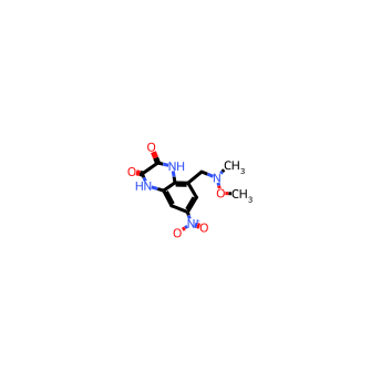 CON(C)Cc1cc([N+](=O)[O-])cc2[nH]c(=O)c(=O)[nH]c12